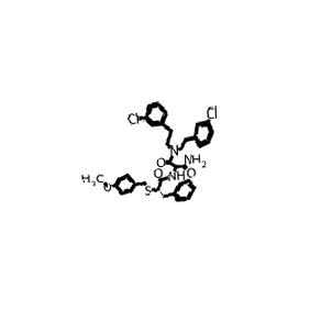 COc1ccc(CS[C@@H](Cc2ccccc2)C(=O)NC(C(N)=O)C(=O)N(CCc2cccc(Cl)c2)CCc2cccc(Cl)c2)cc1